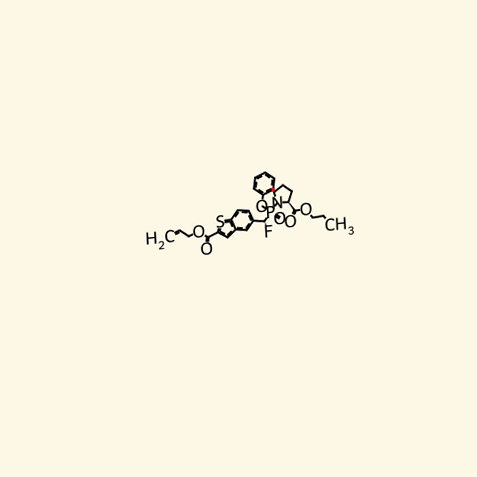 C=CCOC(=O)c1cc2cc([C@@H](F)P(=O)(Oc3ccccc3)N3CCC[C@H]3C(=O)OCCC)ccc2s1